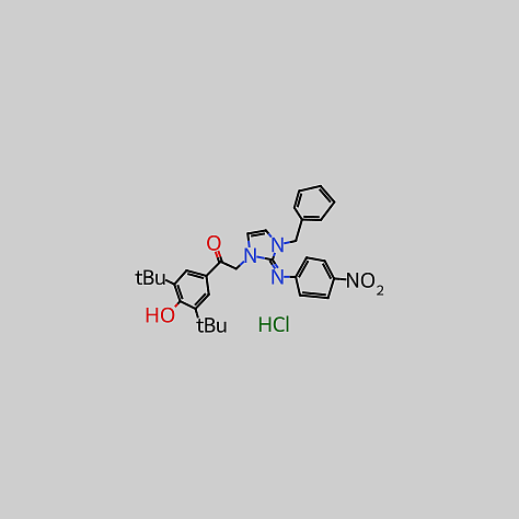 CC(C)(C)c1cc(C(=O)Cn2ccn(Cc3ccccc3)/c2=N\c2ccc([N+](=O)[O-])cc2)cc(C(C)(C)C)c1O.Cl